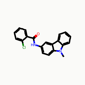 Cn1c2ccccc2c2cc(NC(=O)c3ccccc3Cl)ccc21